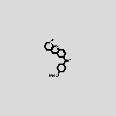 COC1CCC(C(=O)c2ccc3nc4c(cc3c2)CCCN4C)CC1